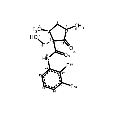 CN1C[C@H](C(F)(F)F)[C@](CO)(C(=O)Nc2cccc(F)c2F)C1=O